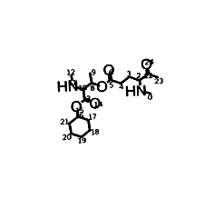 CNC(CCC(=O)OC(C)C(NC)C(=O)OC1CCCCC1)C(C)=O